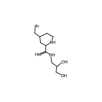 CC(C)CC1CCNC(C(=N)NCC(O)CO)C1